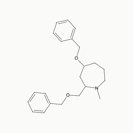 CN1CCCC(OCc2ccccc2)CC1COCc1ccccc1